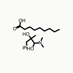 CC(C)CC(C)(O)C(O)N(C)C.CCCCCCCCC(=O)O